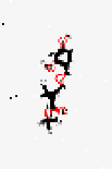 COc1ccc(COCC2C(C(=O)OC(C)(C)C)C2(C)C)c(OC)c1